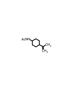 C=C(C)C1CCC(NC(C)=O)CC1